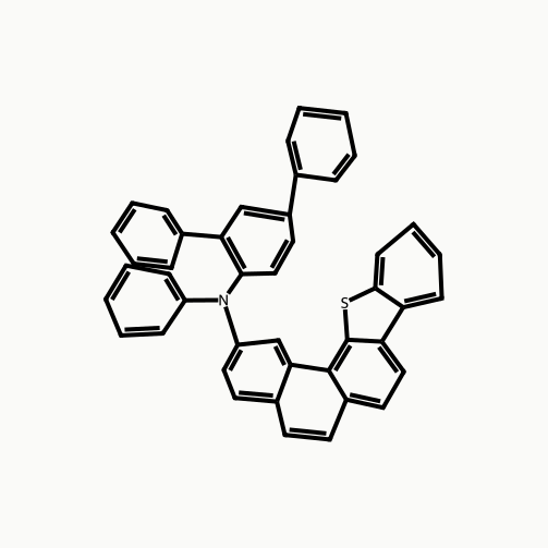 c1ccc(-c2ccc(N(c3ccccc3)c3ccc4ccc5ccc6c7ccccc7sc6c5c4c3)c(-c3ccccc3)c2)cc1